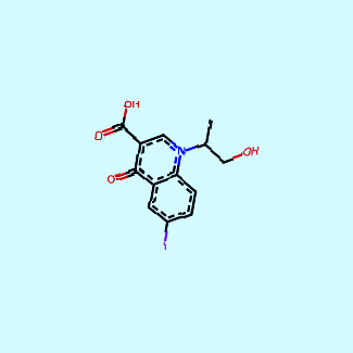 CC(CO)n1cc(C(=O)O)c(=O)c2cc(I)ccc21